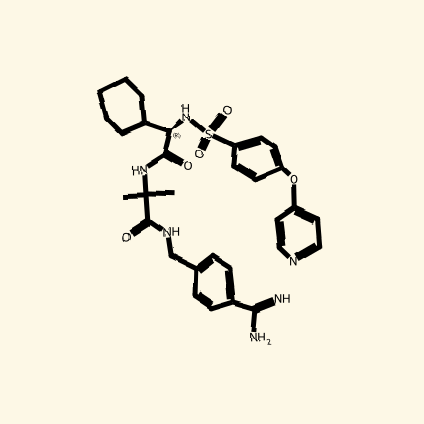 CC(C)(NC(=O)[C@H](NS(=O)(=O)c1ccc(Oc2ccncc2)cc1)C1CCCCC1)C(=O)NCc1ccc(C(=N)N)cc1